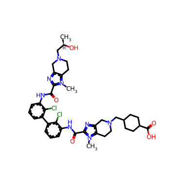 C[C@@H](O)CN1CCc2c(nc(C(=O)Nc3cccc(-c4cccc(NC(=O)c5nc6c(n5C)CCN(CC5CCC(C(=O)O)CC5)C6)c4Cl)c3Cl)n2C)C1